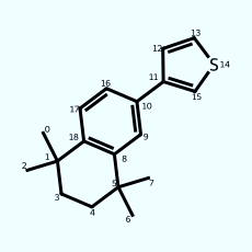 CC1(C)CCC(C)(C)c2cc(-c3ccsc3)ccc21